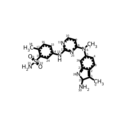 CC1=c2ccc(N(C)c3ccnc(Nc4ccc(C)c(S(N)(=O)=O)c4)n3)cc2=NC1N